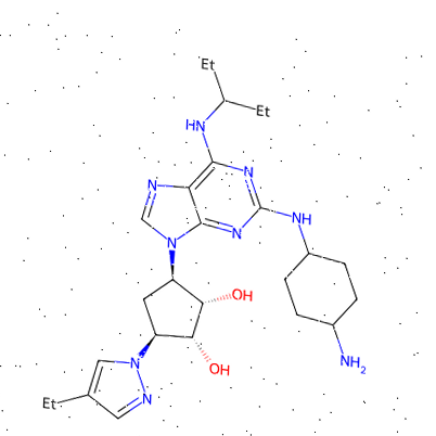 CCc1cnn([C@H]2C[C@@H](n3cnc4c(NC(CC)CC)nc(NC5CCC(N)CC5)nc43)[C@H](O)[C@@H]2O)c1